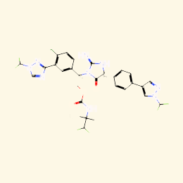 CC(C)(NC(=O)OC[C@H](c1ccc(Cl)c(-c2ncn(C(F)F)n2)c1)N1C(=N)N[C@H](c2ccc(-c3cnn(C(F)F)c3)cc2)C1=O)C(F)F